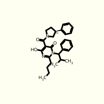 CCCCc1nc(O)c(C(=O)N2CC[C@@H](c3ccccc3)C2)c(=O)n1C(c1ccccc1)C(C)C